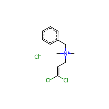 C[N+](C)(CC=C(Cl)Cl)Cc1ccccc1.[Cl-]